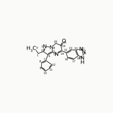 CCc1nn2c(c1-c1ccccc1)N=C(c1ccc3[nH]nnc3c1)C(=O)C2